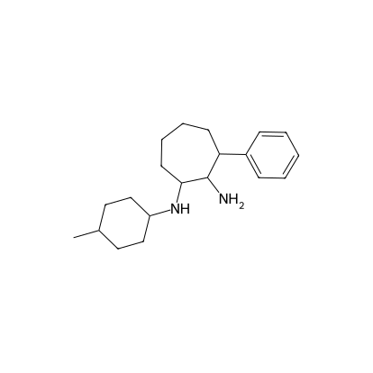 CC1CCC(NC2CCCCC(c3ccccc3)C2N)CC1